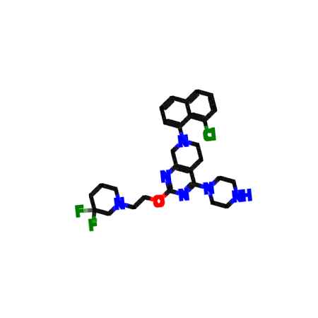 FC1(F)CCCN(CCOc2nc3c(c(N4CCNCC4)n2)CCN(c2cccc4cccc(Cl)c24)C3)C1